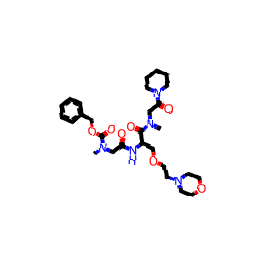 CN(CC(=O)NC(COCCN1CCOCC1)C(=O)N(C)CC(=O)N1CCCCC1)C(=O)OCc1ccccc1